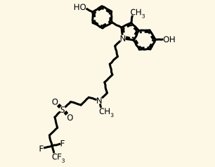 Cc1c(-c2ccc(O)cc2)n(CCCCCCN(C)CCCS(=O)(=O)CCCC(F)(F)C(F)(F)F)c2ccc(O)cc12